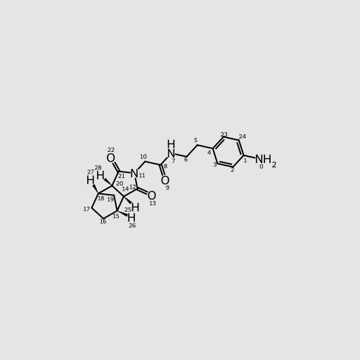 Nc1ccc(CCNC(=O)CN2C(=O)[C@@H]3[C@@H]4CC[C@@H](C4)[C@@H]3C2=O)cc1